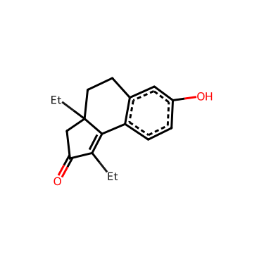 CCC1=C2c3ccc(O)cc3CCC2(CC)CC1=O